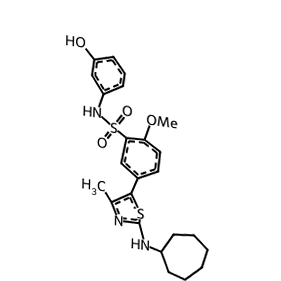 COc1ccc(-c2sc(NC3CCCCCC3)nc2C)cc1S(=O)(=O)Nc1cccc(O)c1